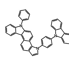 c1ccc(-n2c3ccccc3c3c4ccc5ccn(-c6ccc(-n7c8ccccc8c8ccccc87)cc6)c5c4ccc32)cc1